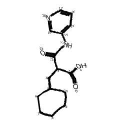 O=C(O)C(CC1CCCCC1)C(=O)Nc1cccnc1